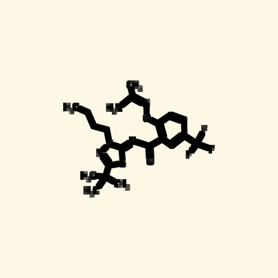 CCCCn1nc(C(C)(C)C)sc1=NC(=O)c1cc(C(F)(F)F)ccc1ON=C(C)N